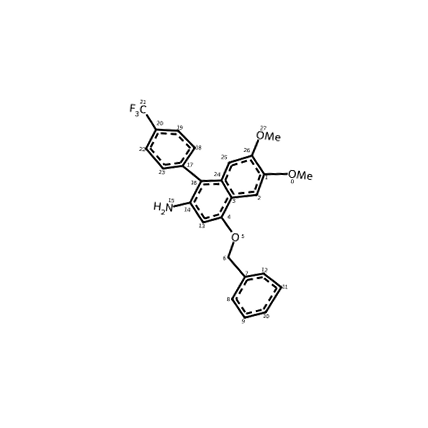 COc1cc2c(OCc3ccccc3)cc(N)c(-c3ccc(C(F)(F)F)cc3)c2cc1OC